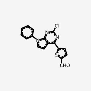 O=Cc1ccc(-c2nc(Cl)nc3c2ccn3-c2ccccc2)s1